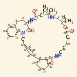 C[C@@H]1CNC(C)(C)CC(=O)N[C@@H]2CCc3ccccc3N(Cc3ccc(cc3)-c3ccccc3C(=O)NCCCCC(=O)O1)C2=O